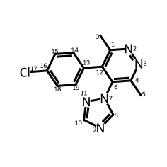 Cc1nnc(C)c(-n2cncn2)c1-c1ccc(Cl)cc1